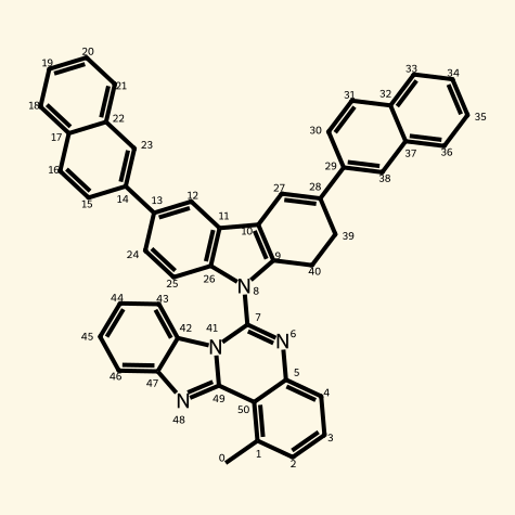 Cc1cccc2nc(-n3c4c(c5cc(-c6ccc7ccccc7c6)ccc53)C=C(c3ccc5ccccc5c3)CC4)n3c4ccccc4nc3c12